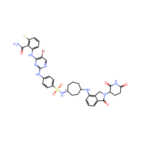 NC(=O)c1c(F)cccc1Nc1nc(Nc2ccc(S(=O)(=O)N[C@H]3CCCC(Nc4cccc5c4CN(C4CCC(=O)NC4=O)C5=O)CC3)cc2)ncc1Br